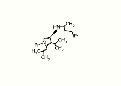 C=C(CCC(C)C)NC#Cc1cn(C(C)C)c(C=C(C)C)c1C(=C)C